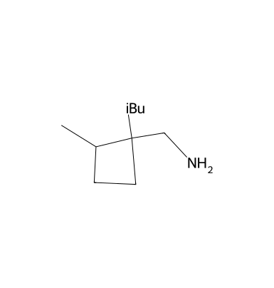 CCC(C)C1(CN)CCC1C